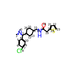 CN(C)C(c1ccc(Cl)cc1)C1CCC(CNC(=O)Cc2cccs2)CC1